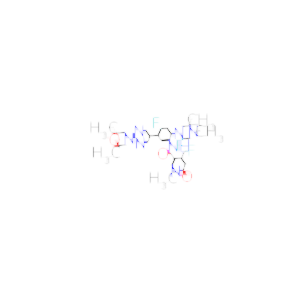 C[C@@H]1CN(c2ncc(-c3cc(NC(=O)c4cn(C)c(=O)cc4C(F)F)c(N4CCN(C)[C@@H](C)C4)cc3F)cn2)C[C@H](C)O1